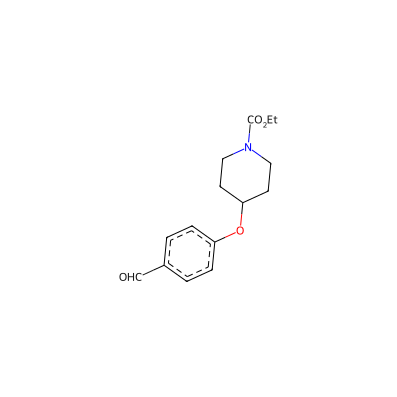 CCOC(=O)N1CCC(Oc2ccc(C=O)cc2)CC1